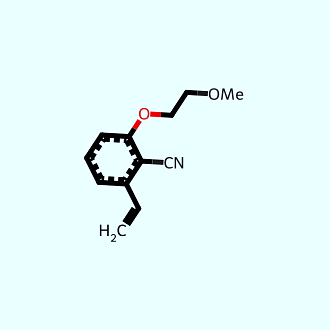 C=Cc1cccc(OCCOC)c1C#N